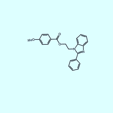 COc1ccc(C(=O)OCCn2c(-c3ccccc3)nc3ccccc32)cc1